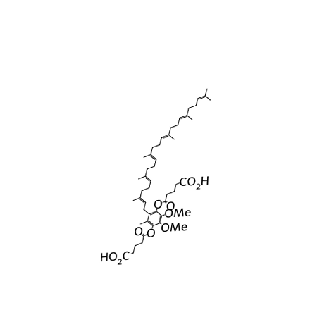 COc1c(OC(=O)CCCC(=O)O)c(C)c(C/C=C(\C)CC/C=C(\C)CC/C=C(\C)CC/C=C(\C)CC/C=C(\C)CCC=C(C)C)c(OC(=O)CCCC(=O)O)c1OC